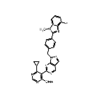 COc1ncnc(C2CC2)c1-c1ncc2cnn(Cc3ccc(-c4nc5c(F)cccc5n4C)cc3)c2n1